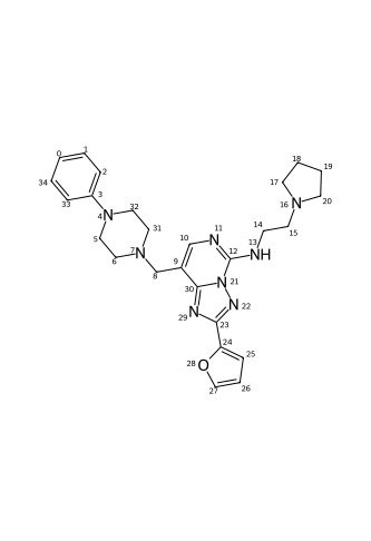 c1ccc(N2CCN(Cc3cnc(NCCN4CCCC4)n4nc(-c5ccco5)nc34)CC2)cc1